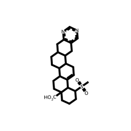 CS(=O)(=O)C1CCCC2(C(=O)O)CCC3C(=CCC4C5Cc6cncnc6CC5CCC34)C12